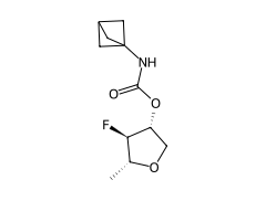 C[C@H]1OC[C@@H](OC(=O)NC23CC(C2)C3)[C@@H]1F